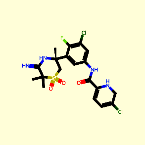 CC1(C)C(=N)N[C@](C)(c2cc(NC(=O)C3=CC=C(Cl)CN3)cc(Cl)c2F)CS1(=O)=O